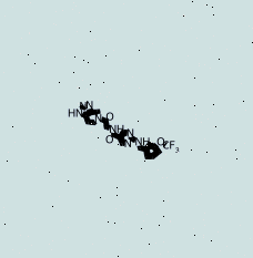 O=C(NCC(=O)N1CCc2[nH]nnc2C1)c1cnc(NCc2cccc(OC(F)(F)F)c2)nc1